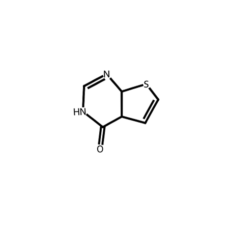 O=C1NC=NC2SC=CC12